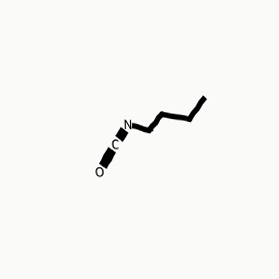 CCC[CH]N=C=O